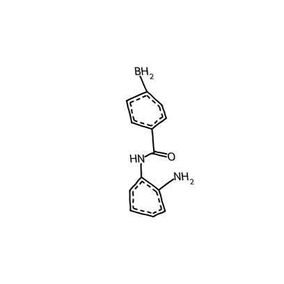 Bc1ccc(C(=O)Nc2ccccc2N)cc1